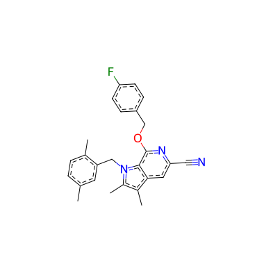 Cc1ccc(C)c(Cn2c(C)c(C)c3cc(C#N)nc(OCc4ccc(F)cc4)c32)c1